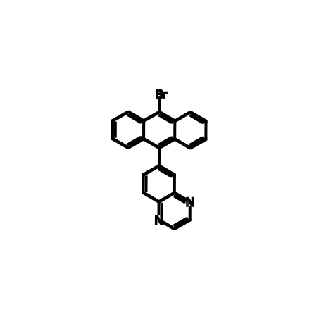 Brc1c2ccccc2c(-c2ccc3nccnc3c2)c2ccccc12